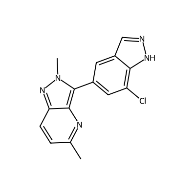 Cc1ccc2nn(C)c(-c3cc(Cl)c4[nH]ncc4c3)c2n1